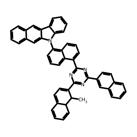 CC1C(c2nc(-c3ccc4ccccc4c3)nc(-c3cccc4c(-n5c6ccccc6c6cc7ccccc7cc65)cccc34)n2)=CC=C2C=CC=CC21